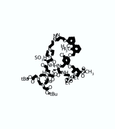 CCOP(=O)(CCNC(=O)[C@H](CS(=O)(=O)O)NCc1cc(Cl)c(OCc2cccc(-c3cccc(OCc4cn(CCCN5CCN(C(=O)[C@H](CS(=O)(=O)O)NC(=O)CC[C@H](C(=O)OC(C)(C)C)N6CCN(CC(=O)OC(C)(C)C)CCN(CC(=O)OC(C)(C)C)CC6)CC5)nn4)c3C)c2C)cc1OCc1cncc(S(C)(=O)=O)c1)OCC